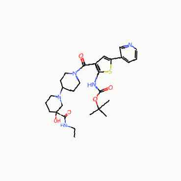 CCNC(=O)C1(O)CCCN(C2CCN(C(=O)c3cc(-c4cccnc4)sc3NC(=O)OC(C)(C)C)CC2)C1